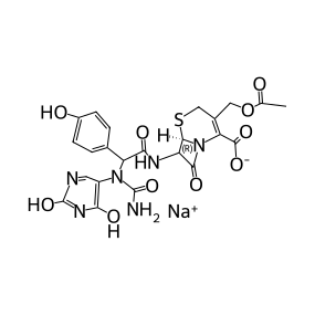 CC(=O)OCC1=C(C(=O)[O-])N2C(=O)C(NC(=O)C(c3ccc(O)cc3)N(C(N)=O)c3cnc(O)nc3O)[C@H]2SC1.[Na+]